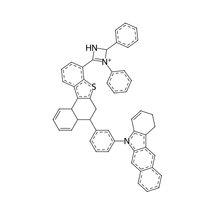 C1=CC2c3c(sc4c(C5=[N+](c6ccccc6)C(c6ccccc6)N5)cccc34)CC(c3cccc(-n4c5c(c6cc7ccccc7cc64)CCC=C5)c3)C2C=C1